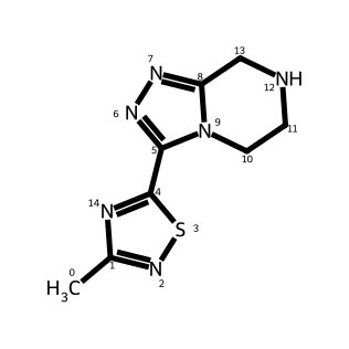 Cc1nsc(-c2nnc3n2CCNC3)n1